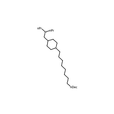 CCCCCCCCCCCCCCCCCCN1CCC(CN(CCC)CCC)CC1